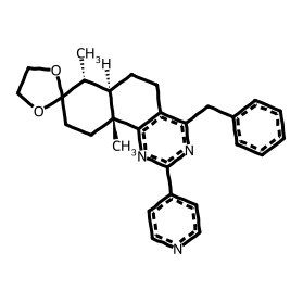 C[C@@H]1[C@H]2CCc3c(Cc4ccccc4)nc(-c4ccncc4)nc3[C@]2(C)CCC12OCCO2